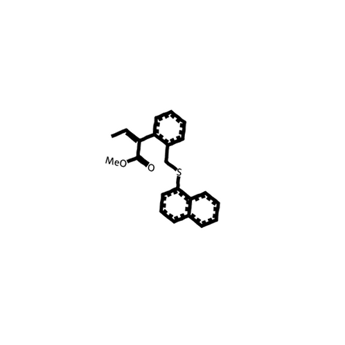 CC=C(C(=O)OC)c1ccccc1CSc1cccc2ccccc12